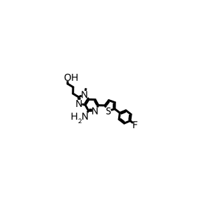 Cn1c(CCCO)nc2c(N)nc(-c3ccc(-c4ccc(F)cc4)s3)cc21